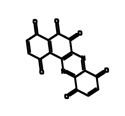 O=c1ccc(=O)c2nc3c(nc12)c(=O)c(=O)c1c(=O)ccc(=O)c13